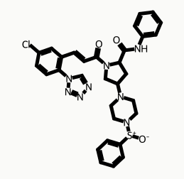 O=C(Nc1ccccc1)C1CC(N2CCN([S+]([O-])c3ccccc3)CC2)CN1C(=O)/C=C/c1cc(Cl)ccc1-n1cnnn1